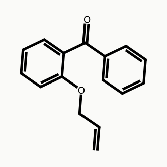 C=CCOc1ccccc1C(=O)c1ccccc1